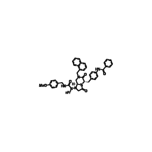 CCCN(C(=O)NCc1ccc(OC)cc1)N1CC(=O)N2[C@@H](Cc3ccc(NC(=O)c4ccccc4)cc3)C(=O)N(Cc3cccc4ccccc34)C[C@@H]21